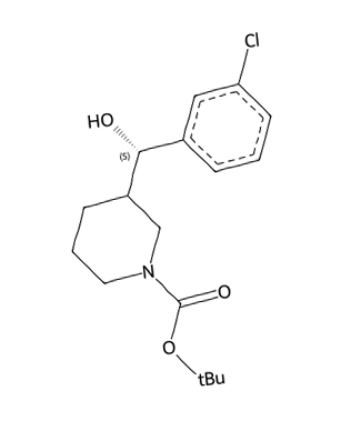 CC(C)(C)OC(=O)N1CCCC([C@H](O)c2cccc(Cl)c2)C1